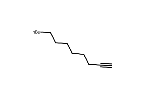 C#CC[CH]CCCCCCCC